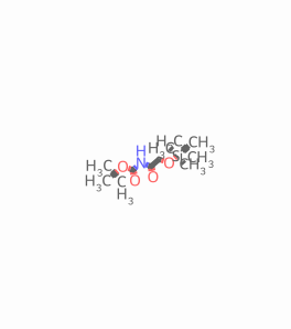 CC(C)(C)OC(=O)NC(=O)CO[Si](C)(C)C(C)(C)C